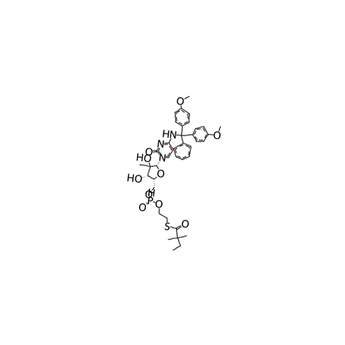 CCC(C)(C)C(=O)SCCO[PH](=O)OC[C@H]1O[C@@H](n2ccc(NC(c3ccccc3)(c3ccc(OC)cc3)c3ccc(OC)cc3)nc2=O)C(C)(O)[C@H]1O